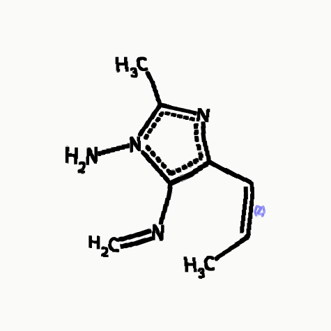 C=Nc1c(/C=C\C)nc(C)n1N